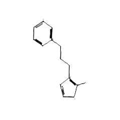 [F-].[F-].[Zr+2][C]1=C(CCCc2ccccc2)C=CC1